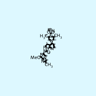 COc1nc(NC(=O)N2CCc3c(N4C[C@@H](C)N(C(=O)OC(C)(C)C)[C@@H](C)C4)ccnc32)cn2cc(C)nc12